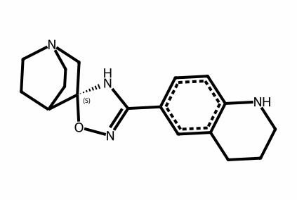 c1cc2c(cc1C1=NO[C@@]3(CN4CCC3CC4)N1)CCCN2